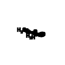 CCO[SiH2]CCCNC(=O)OCCN1CCOCC1